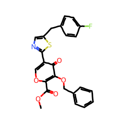 COC(=O)c1occ(-c2ncc(Cc3ccc(F)cc3)s2)c(=O)c1OCc1ccccc1